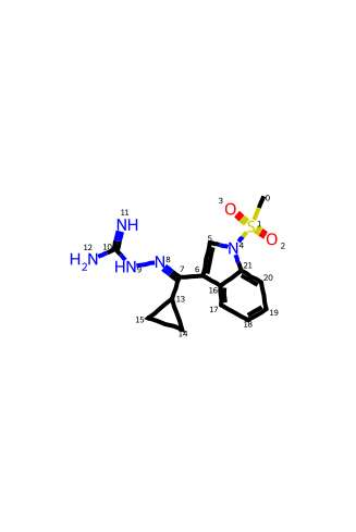 CS(=O)(=O)n1cc(/C(=N/NC(=N)N)C2CC2)c2ccccc21